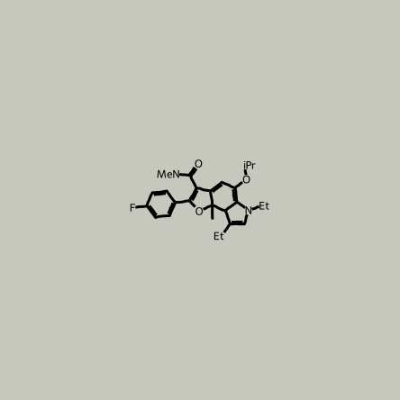 CCC1=CN(CC)C2=C(OC(C)C)C=C3C(C(=O)NC)=C(c4ccc(F)cc4)OC3(C)C12